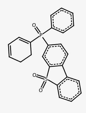 O=P(C1=CC=CCC1)(c1ccccc1)c1ccc2c(c1)S(=O)(=O)c1ccccc1-2